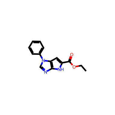 CCOC(=O)c1cc2c(ncn2-c2ccccc2)[nH]1